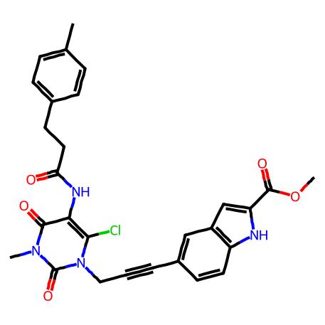 COC(=O)c1cc2cc(C#CCn3c(Cl)c(NC(=O)CCc4ccc(C)cc4)c(=O)n(C)c3=O)ccc2[nH]1